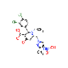 CCn1c(Cn2cc([NH+]([O-])O)c(C)n2)cc(=O)c(C(=O)O)c1-c1ccc(Cl)c(Cl)c1